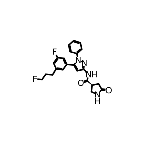 O=C1C[C@H](C(=O)Nc2cc(-c3cc(F)cc(CCCF)c3)n(-c3ccccc3)n2)CN1